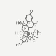 CCC[C@@H]1O[C@@H]2CC3C4C[C@H](F)C5=CC(=O)C=C[C@]5(C)[C@@]4(F)[C@@H](O)C[C@]3(C)[C@]2(C(=O)OP(=O)(OCC)OCC)O1